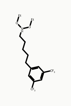 CCO[SiH](CCCCCc1cc(C(F)(F)F)cc(C(F)(F)F)c1)OCC